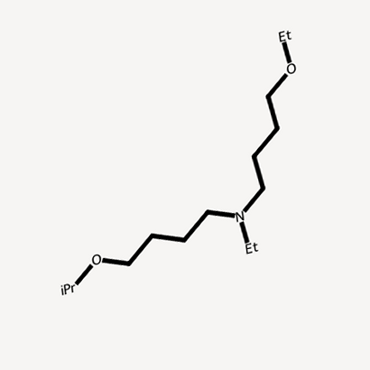 CCOCCCCN(CC)CCCCOC(C)C